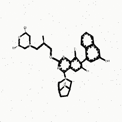 CC[C@@H]1CN(C[C@@H](C)COc2nc(N3CC4CCC(C3)N4)c3cc(Cl)c(-c4cc(O)cc5ccccc45)c(F)c3n2)C[C@H](CC)O1